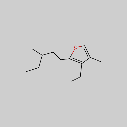 CCc1c(C)coc1CCC(C)CC